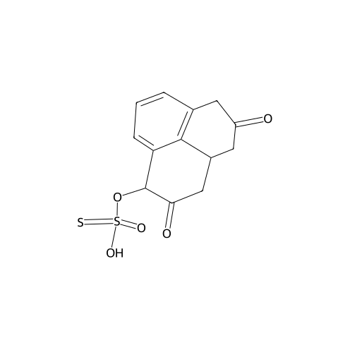 O=C1Cc2cccc3c2C(C1)CC(=O)C3OS(=O)(O)=S